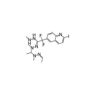 C/C=N\N(C)C(C)N(C)/N=C(\NNC)C(F)(F)c1ccc2nc(I)ccc2c1